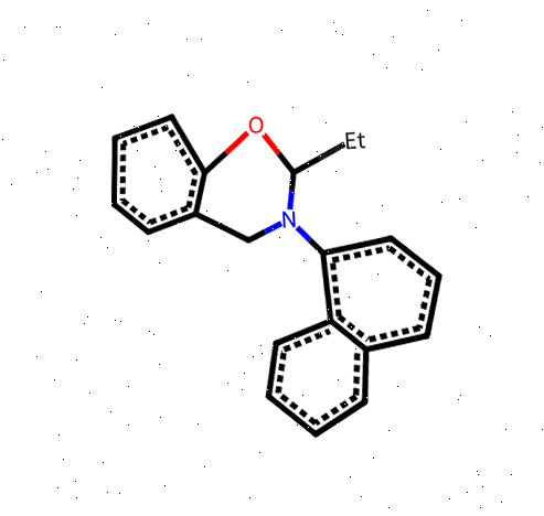 CCC1Oc2ccccc2CN1c1cccc2ccccc12